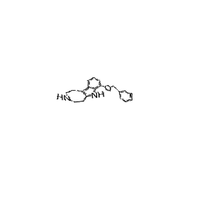 c1ccc(COc2cccc3c4c([nH]c23)CCNCC4)cc1